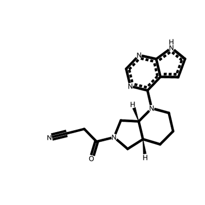 N#CCC(=O)N1C[C@H]2CCCN(c3ncnc4[nH]ccc34)[C@H]2C1